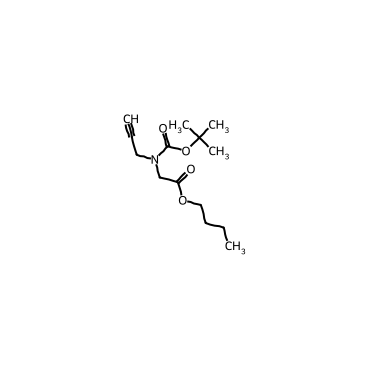 C#CCN(CC(=O)OCCCC)C(=O)OC(C)(C)C